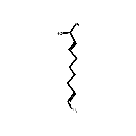 C/C=C/CCCC/C=C/C(O)C(C)C